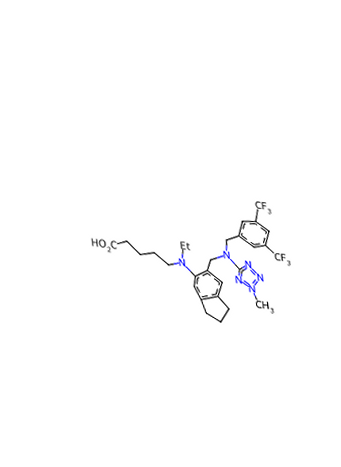 CCN(CCCCC(=O)O)c1cc2c(cc1CN(Cc1cc(C(F)(F)F)cc(C(F)(F)F)c1)c1nnn(C)n1)CCC2